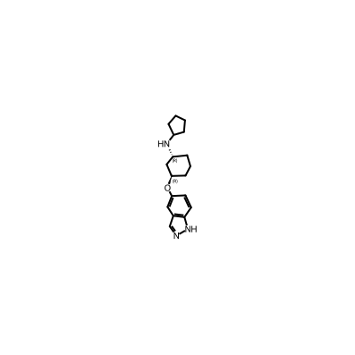 c1cc2[nH]ncc2cc1O[C@@H]1CCC[C@@H](NC2CCCC2)C1